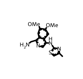 COc1cc2c(Nc3nc(C)cs3)cnc(CN)c2cc1OC